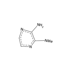 CNc1nccnc1N